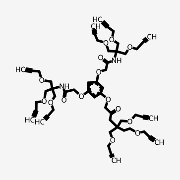 C#CCOCCC(COCC#C)(COCC#C)CC(=O)COc1cc(OCC(=O)NC(COCC#C)(COCC#C)COCC#C)cc(OCC(=O)NC(COCC#C)(COCC#C)COCC#C)c1